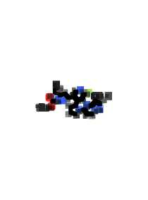 C[C@H](CCc1cnc(F)cc1C1CCCN1c1ccn2ncc(C(=O)O)c2n1)NC(=O)OC(C)(C)C